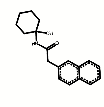 O=C(Cc1ccc2ccccc2c1)NC1(O)CCCCC1